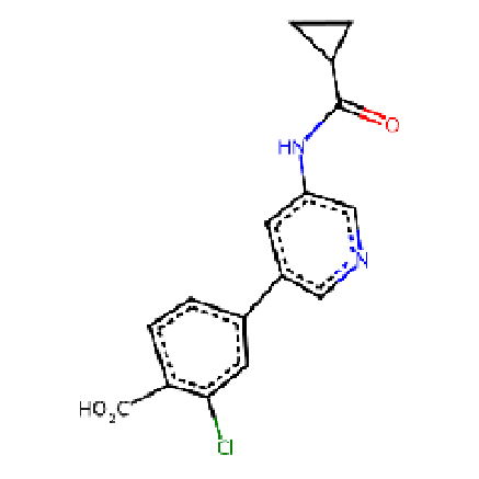 O=C(O)c1ccc(-c2cncc(NC(=O)C3CC3)c2)cc1Cl